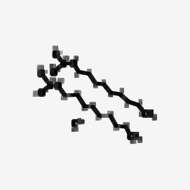 CCCCCCCCCOB([O-])[O-].CCCCCCCCCOB([O-])[O-].[C+4]